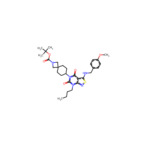 CCCCn1c(=O)n(C2CCC3(CC2)CN(C(=O)OC(C)(C)C)C3)c(=O)c2c(NCc3ccc(OC)cc3)snc21